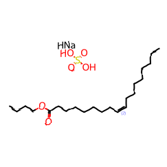 CCCCCCCC/C=C\CCCCCCCC(=O)OCCCC.O=S(=O)(O)O.[NaH]